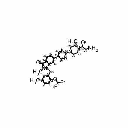 Cc1ccc(OC(F)F)c(Cn2c3cc(-c4cnc(N5CCN(C(=O)CN)C(C)C5)nc4)ccc3c(=O)n2C)c1